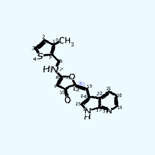 Cc1ccsc1CNC1=CC(=O)/C(=C\c2c[nH]c3ncccc23)O1